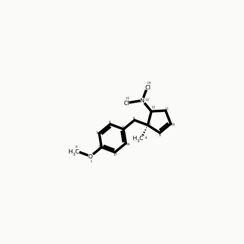 COc1ccc(C[C@]2(C)C=CCC2N(Cl)Cl)cc1